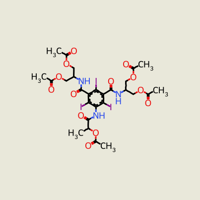 CC(=O)OCC(COC(C)=O)NC(=O)c1c(I)c(NC(=O)C(C)OC(C)=O)c(I)c(C(=O)NC(COC(C)=O)COC(C)=O)c1I